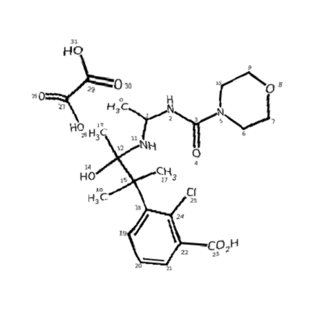 CC(NC(=O)N1CCOCC1)NC(C)(O)C(C)(C)c1cccc(C(=O)O)c1Cl.O=C(O)C(=O)O